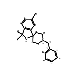 Cc1ccc2c(c1)C1(CCN(Cc3ccccc3)CC1)OC2(C)C